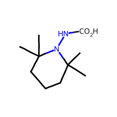 CC1(C)CCCC(C)(C)N1NC(=O)O